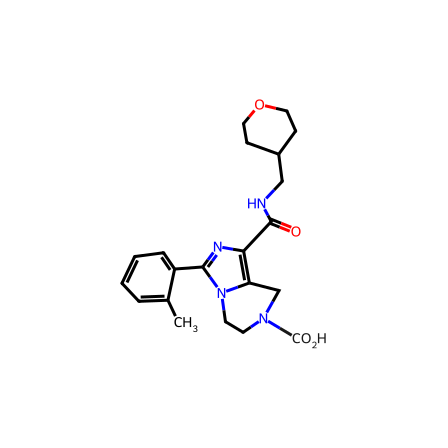 Cc1ccccc1-c1nc(C(=O)NCC2CCOCC2)c2n1CCN(C(=O)O)C2